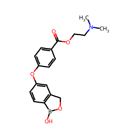 CN(C)CCOC(=O)c1ccc(Oc2ccc3c(c2)COB3O)cc1